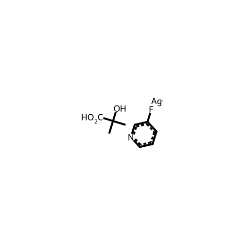 CC(C)(O)C(=O)O.Fc1cccnc1.[Ag]